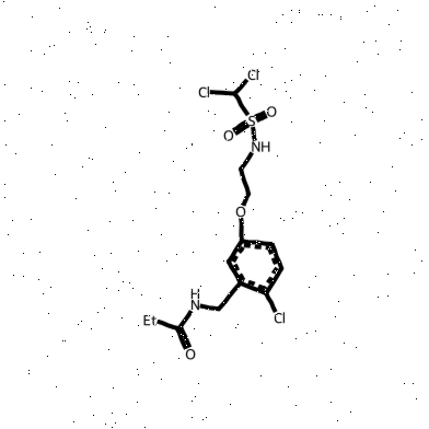 CCC(=O)NCc1cc(OCCNS(=O)(=O)C(Cl)Cl)ccc1Cl